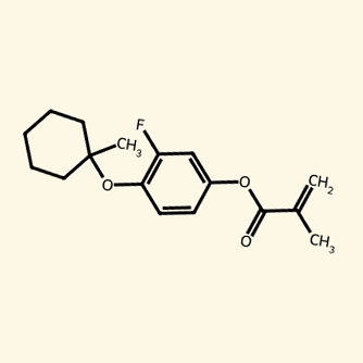 C=C(C)C(=O)Oc1ccc(OC2(C)CCCCC2)c(F)c1